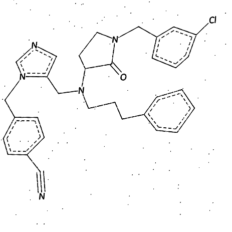 N#Cc1ccc(Cn2cncc2CN(CCCc2ccccc2)C2CCN(Cc3cccc(Cl)c3)C2=O)cc1